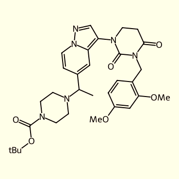 COc1ccc(CN2C(=O)CCN(c3cnn4ccc(C(C)N5CCN(C(=O)OC(C)(C)C)CC5)cc34)C2=O)c(OC)c1